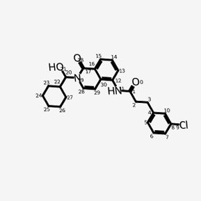 O=C(CCc1cccc(Cl)c1)Nc1cccc2c(=O)n(C(O)C3CCCCC3)ccc12